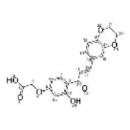 O=C(O)COc1ccc(C(=O)/C=C/c2ccc3c(c2)OCCO3)c(O)c1